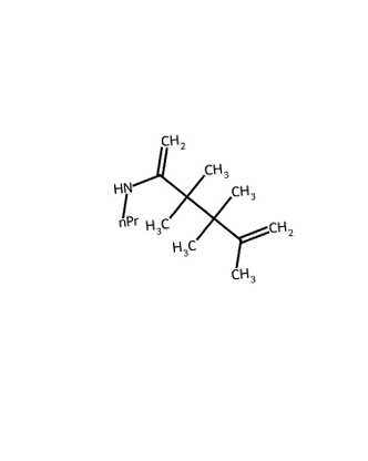 C=C(C)C(C)(C)C(C)(C)C(=C)NCCC